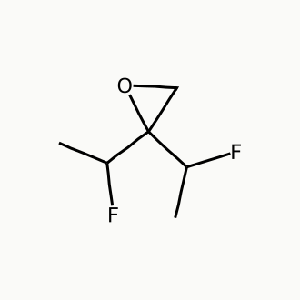 CC(F)C1(C(C)F)CO1